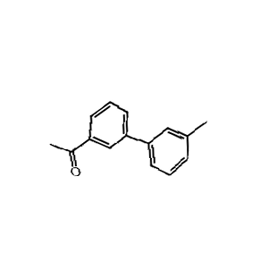 CC(=O)c1cccc(-c2cccc(C)c2)c1